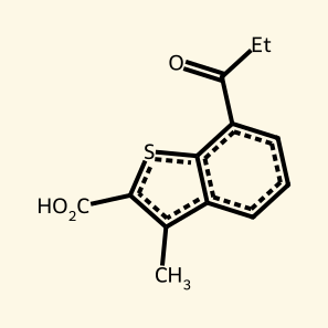 CCC(=O)c1cccc2c(C)c(C(=O)O)sc12